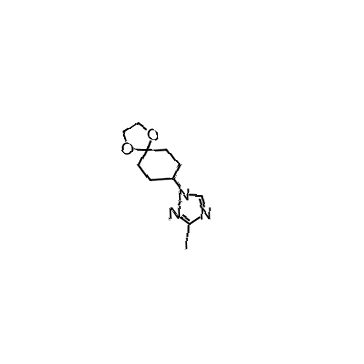 Ic1ncn(C2CCC3(CC2)OCCO3)n1